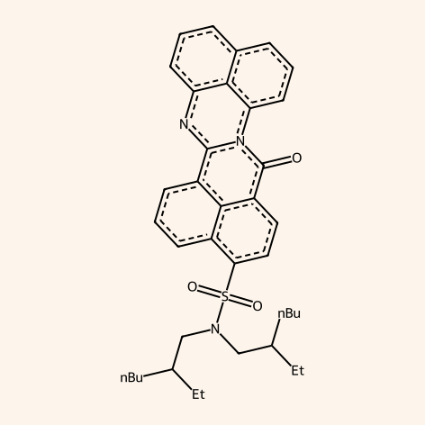 CCCCC(CC)CN(CC(CC)CCCC)S(=O)(=O)c1ccc2c(=O)n3c4cccc5cccc(nc3c3cccc1c23)c54